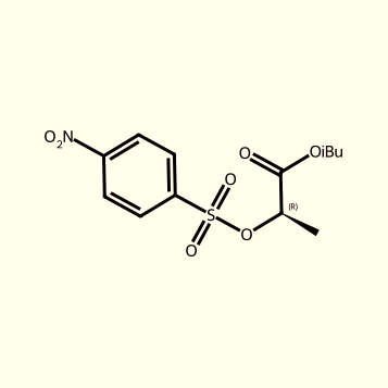 CC(C)COC(=O)[C@@H](C)OS(=O)(=O)c1ccc([N+](=O)[O-])cc1